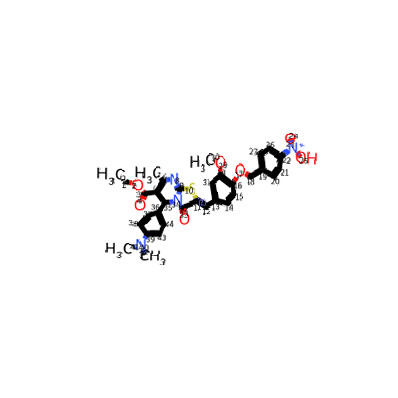 CCOC(=O)C1=C(C)N=c2s/c(=C\c3ccc(OCc4ccc([N+](=O)O)cc4)c(OC)c3)c(=O)n2C1c1ccc(N(C)C)cc1